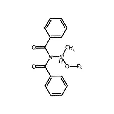 CCO[SiH](C)N(C(=O)c1ccccc1)C(=O)c1ccccc1